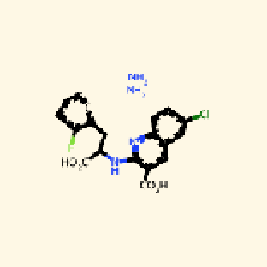 N.N.O=C(O)c1cc2cc(Cl)ccc2nc1NC(Cc1ccccc1F)C(=O)O